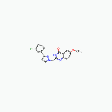 COc1ccc2nc(Cn3ccc(-c4cccc(F)c4)n3)[nH]c(=O)c2c1